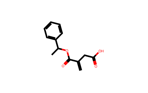 C=C(CC(=O)O)C(=O)OC(C)c1ccccc1